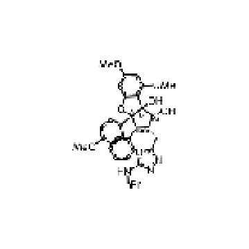 CCCNc1nnc(C[C@H]2[C@@H](O)[C@@]3(O)c4c(OC)cc(OC)cc4O[C@@]3(c3ccc(OC)cc3)[C@@H]2c2ccccc2)o1